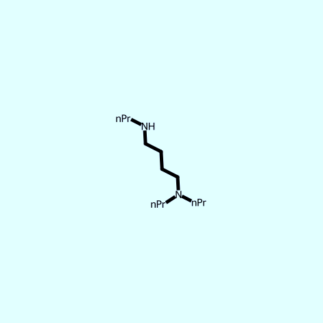 CCCNCCCCN(CCC)CCC